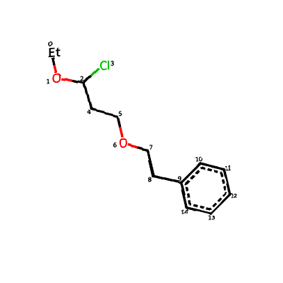 CCOC(Cl)CCOCCc1ccccc1